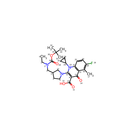 CCN(CC1CCN(c2c(C(=O)O)c(=O)c3c(C)c(F)ccc3n2C2CC2)C1)C(=O)OC(C)(C)C